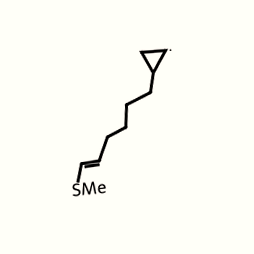 CSC=CCCCCC1[CH]C1